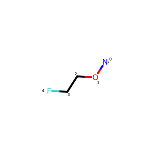 [N]OCCF